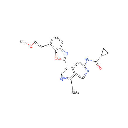 CCOC=Cc1cccc2nc(-c3cnc(NC)c4cnc(NC(=O)C5CC5)cc34)oc12